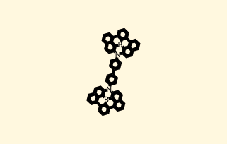 c1cc2c3c(c1)-c1cccc4ccc5c(c14)B3c1c(ccc3cccc-2c13)N5c1ccc(-c2ccc(N3c4ccc5cccc6c5c4B4c5c-6cccc5-c5cccc6ccc3c4c56)cc2)cc1